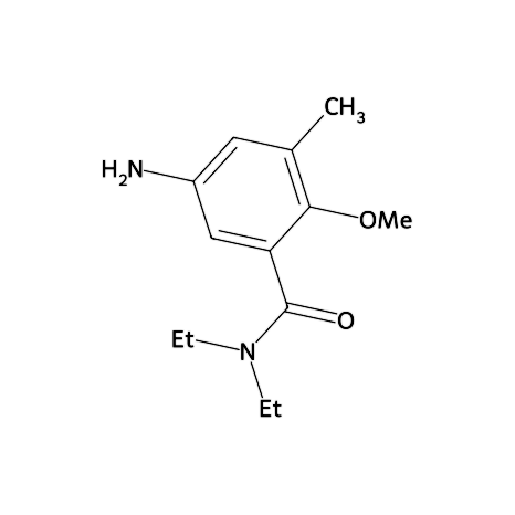 CCN(CC)C(=O)c1cc(N)cc(C)c1OC